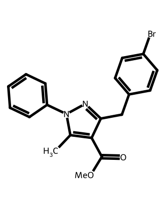 COC(=O)c1c(Cc2ccc(Br)cc2)nn(-c2ccccc2)c1C